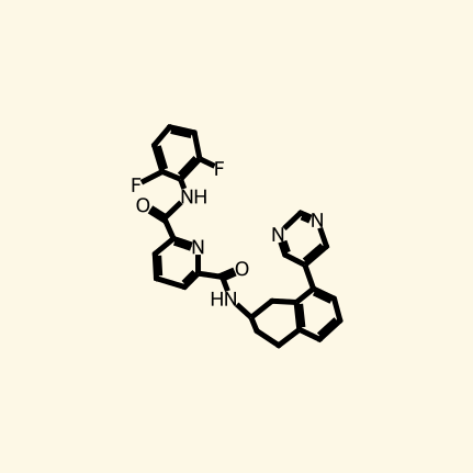 O=C(Nc1c(F)cccc1F)c1cccc(C(=O)NC2CCc3cccc(-c4cncnc4)c3C2)n1